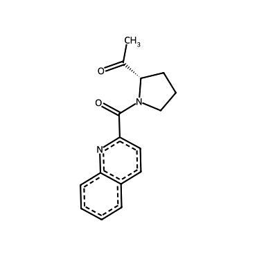 CC(=O)[C@@H]1CCCN1C(=O)c1ccc2ccccc2n1